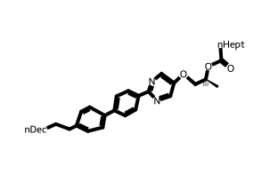 CCCCCCCCCCCCc1ccc(-c2ccc(-c3ncc(OC[C@H](C)OC(=O)CCCCCCC)cn3)cc2)cc1